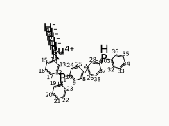 [H-].[H-].[H-].[H-].[H-].[K+].[Ru+4].c1ccc(P(c2ccccc2)c2ccccc2)cc1.c1ccc(Pc2ccccc2)cc1